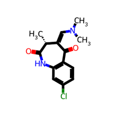 C[C@H]1C(=O)Nc2cc(Cl)ccc2C(=O)/C1=C\N(C)C